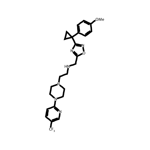 COc1ccc(C2(c3noc(CNCCN4CCN(c5ccc(C(F)(F)F)cn5)CC4)n3)CC2)cc1